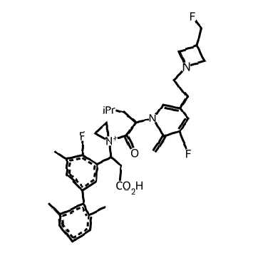 C=C1C(F)=CC(CCN2CC(CF)C2)=CN1C(CC(C)C)C(=O)[N+]1(C(CC(=O)O)c2cc(-c3c(C)cccc3C)cc(C)c2F)CC1